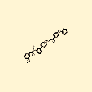 COc1cccc(CC(=O)Nc2cccc(C3CCN(CCCC(=O)c4ccc(Oc5ccccc5)cc4)CC3)c2)c1